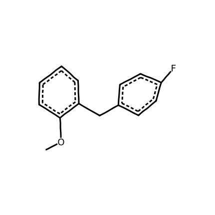 COc1ccccc1Cc1ccc(F)cc1